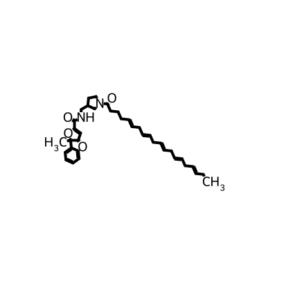 CCC=CCC=CCC=CCC=CCC=CCCCC(=O)N1CCC(CNC(=O)C2=CC(=O)C(C)(c3ccccc3)O2)C1